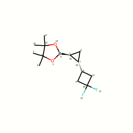 CC1(C)OB([C@H]2C[C@@H]2C2CC(F)(F)C2)OC1(C)C